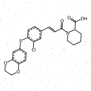 O=C(O)C1CCCCN1C(=O)C=Cc1ccc(Sc2ccc3c(c2)OCCO3)c(Cl)c1